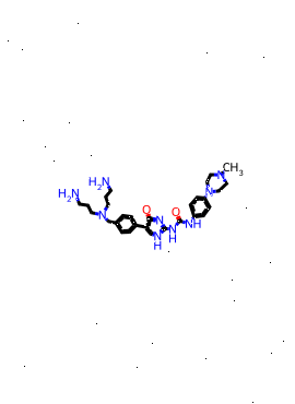 CN1CCN(c2ccc(NC(=O)Nc3nc(=O)c(-c4ccc(CN(CCCN)CCCN)cc4)c[nH]3)cc2)CC1